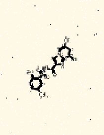 Cc1ccc(Br)c(S(=O)(=O)NC(=O)c2cn3cc(C(F)(F)F)cc(Cl)c3n2)c1